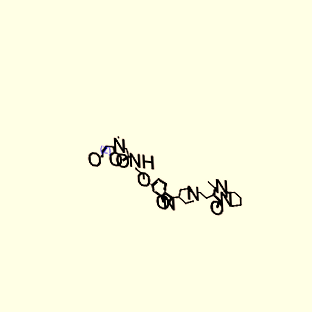 Cc1nc2n(c(=O)c1CCN1CCC(c3noc4cc(OCCNC(=O)CN(C)C(=O)/C=C\C=O)ccc34)CC1)CCCC2